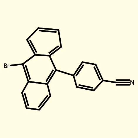 N#Cc1ccc(-c2c3ccccc3c(Br)c3ccccc23)cc1